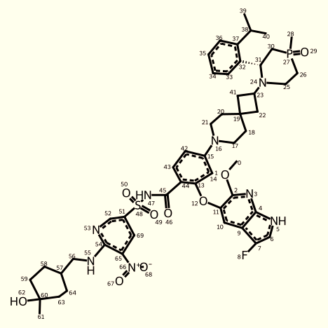 COc1nc2[nH]cc(F)c2cc1Oc1cc(N2CCC3(CC2)CC(N2CCP(C)(=O)C[C@H]2c2ccccc2C(C)C)C3)ccc1C(=O)NS(=O)(=O)c1cnc(NCC2CCC(C)(O)CC2)c([N+](=O)[O-])c1